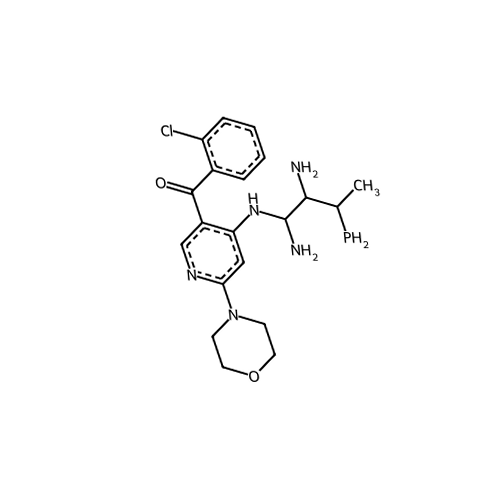 CC(P)C(N)C(N)Nc1cc(N2CCOCC2)ncc1C(=O)c1ccccc1Cl